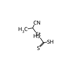 CCC(C)C#N.S=C(S)S